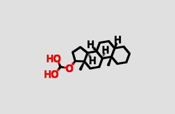 C[C@]12CCCC[C@H]1CC[C@@H]1[C@@H]2CC[C@]2(C)[C@@H](OC(O)O)CC[C@@H]12